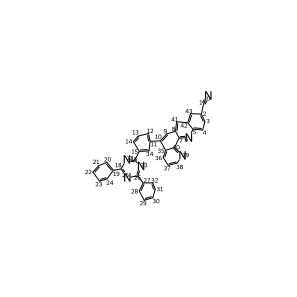 N#Cc1ccc2nc3c(cc(-c4cccc(-c5nc(-c6ccccc6)nc(-c6ccccc6)n5)c4)c4cccnc43)cc2c1